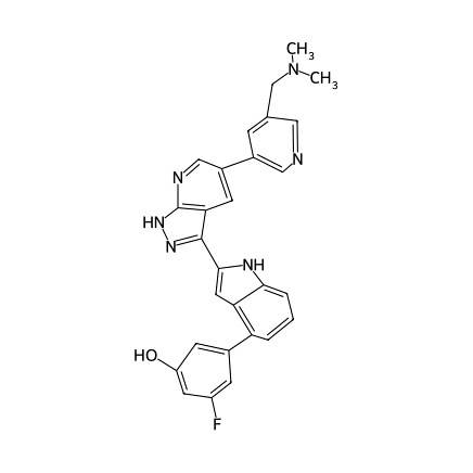 CN(C)Cc1cncc(-c2cnc3[nH]nc(-c4cc5c(-c6cc(O)cc(F)c6)cccc5[nH]4)c3c2)c1